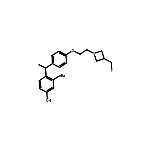 CCCCc1cc(O)ccc1C(C)c1ccc(OCCN2CC(CF)C2)cc1